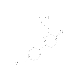 COc1ccc(-c2ccc(=N)n(CCC(=O)O)n2)cc1